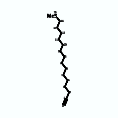 C#CCCCCCCCCCCCCCSC